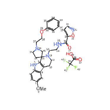 COc1ccc2[nH]c3c(c2c1)CCN(CCNC(=O)c1ccno1)C31CCN(CCOc2ccccc2)C1.O=C(O)C(F)(F)F